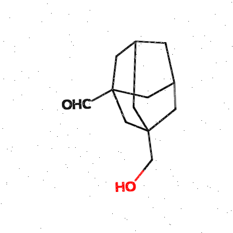 O=CC12CC3CC(C1)CC(CO)(C3)C2